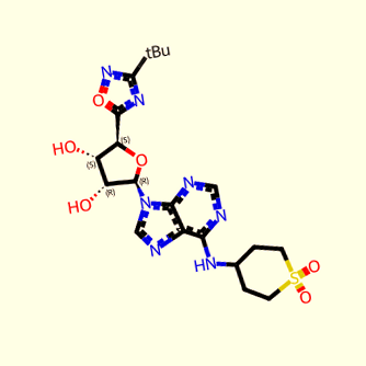 CC(C)(C)c1noc([C@H]2O[C@@H](n3cnc4c(NC5CCS(=O)(=O)CC5)ncnc43)[C@H](O)[C@@H]2O)n1